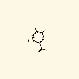 CS(=O)(=O)O.N=C(N)c1ccc(O)c([N+](=O)[O-])c1